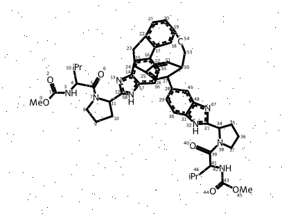 COC(=O)NC(C(=O)N1CCCC1c1nc2cc(-c3cc4ccc3CCC3=CC(c5ccc6[nH]c(C7CCCN7C(=O)C(NC(=O)OC)C(C)C)nc6c5)C(C=C3)CC4)ccc2[nH]1)C(C)C